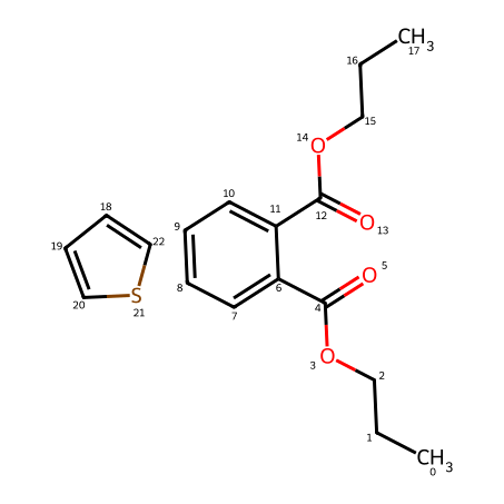 CCCOC(=O)c1ccccc1C(=O)OCCC.c1ccsc1